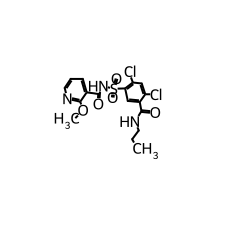 CCCNC(=O)c1cc(S(=O)(=O)NC(=O)c2cccnc2OC)c(Cl)cc1Cl